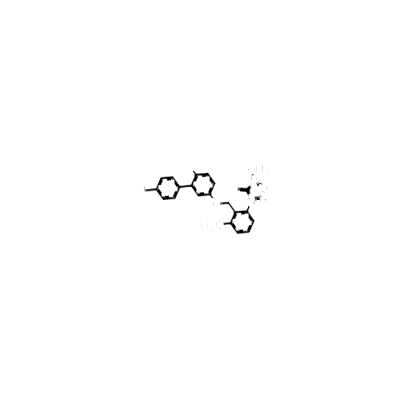 Cc1cccc(-n2nnn(C)c2=O)c1COc1ccc(F)c(-c2ccc(Cl)cc2)c1